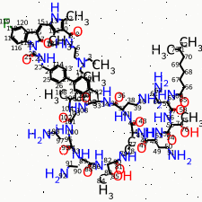 CCN(CC)CCNC(=O)c1c(C)[nH]c(/C=C2\C(=O)N(C(=O)NCc3ccc(-c4ccc(C[C@H]5NC(=O)C(CCN)NC(=O)[C@@H](NC(=O)[C@H](CCN)NC(=O)[C@@H](NC(=O)[C@@H](CCN)NC(=O)CCCCCC(C)C)[C@@H](C)O)CCNC(=O)[C@H]([C@@H](C)O)NC(=O)[C@H](CCN)NC(=O)[C@H](CCN)NC(=O)[C@H](CC(C)C)NC5=O)cc4)cc3)c3ccc(F)cc32)c1C